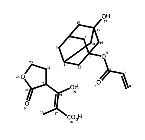 C=CC(=O)OC12CC3CC(CC(O)(C3)C1)C2.CC(C(=O)O)=C(O)C1CCOC1=O